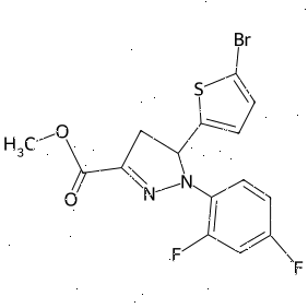 COC(=O)C1=NN(c2ccc(F)cc2F)C(c2ccc(Br)s2)C1